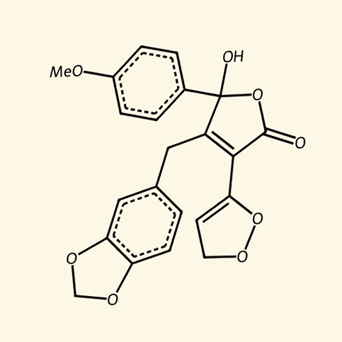 COc1ccc(C2(O)OC(=O)C(C3=CCOO3)=C2Cc2ccc3c(c2)OCO3)cc1